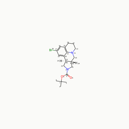 CC(C)(C)OC(=O)N1C[C@H]2CN3CCCc4cc(Br)cc(c43)[C@@H]2C1